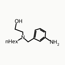 CCCCCCN(CCO)Cc1cccc(N)c1